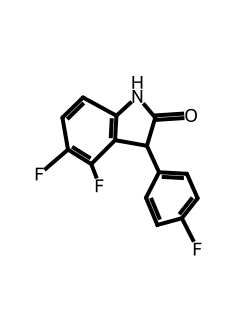 O=C1Nc2ccc(F)c(F)c2C1c1ccc(F)cc1